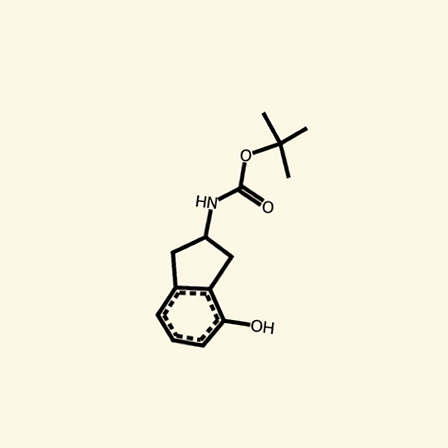 CC(C)(C)OC(=O)NC1Cc2cccc(O)c2C1